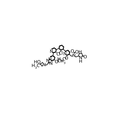 COc1nc(-c2cccc(-c3ccnc(-c4cc(OC)c5nc(CN6CC(C)(O)C6)nn5c4)c3Cl)c2Cl)ccc1CN(CC1CCC(=O)N1)C(=O)O